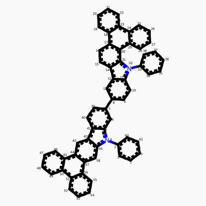 c1ccc(-n2c3cc(-c4ccc5c(c4)c4ccc6c7ccccc7c7ccccc7c6c4n5-c4ccccc4)ccc3c3cc4c5ccccc5c5ccccc5c4cc32)cc1